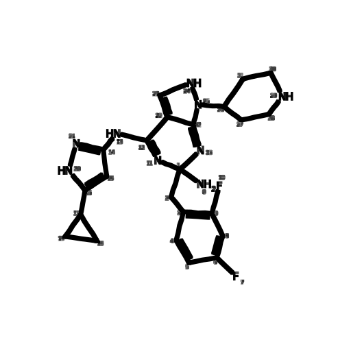 NC1(Cc2ccc(F)cc2F)N=C(Nc2cc(C3CC3)[nH]n2)C2=CNN(C3CCNCC3)C2=N1